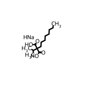 CCCCCCCCC(C(=O)O)(C(=O)O)C(C)C.[NaH]